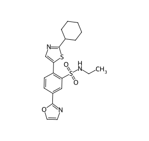 CCNS(=O)(=O)c1cc(-c2ncco2)ccc1-c1cnc(C2CCCCC2)s1